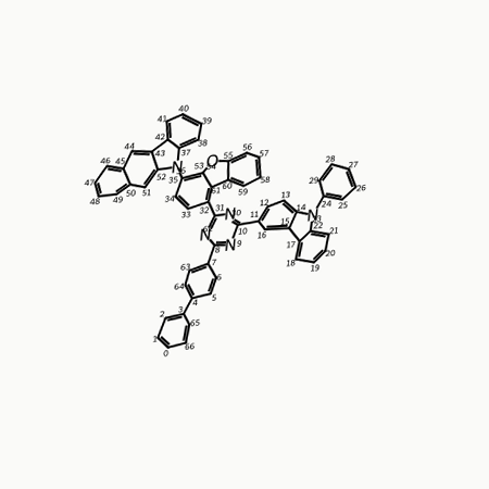 c1ccc(-c2ccc(-c3nc(-c4ccc5c(c4)c4ccccc4n5-c4ccccc4)nc(-c4ccc(-n5c6ccccc6c6cc7ccccc7cc65)c5oc6ccccc6c45)n3)cc2)cc1